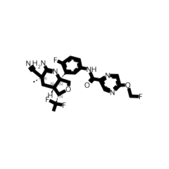 CC(F)(F)[C@H]1OC[C@]2(c3cc(NC(=O)c4cnc(OCF)cn4)ccc3F)N=C(N)[C@](C)(C#N)C[C@H]12